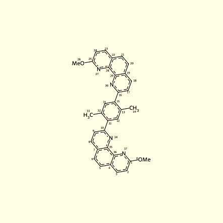 COc1ccc2ccc3ccc(-c4cc(C)c(-c5ccc6ccc7ccc(OC)nc7c6n5)cc4C)nc3c2n1